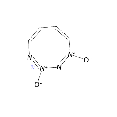 [O-][N+]1=N/[N+]([O-])=N\C=CC=C1